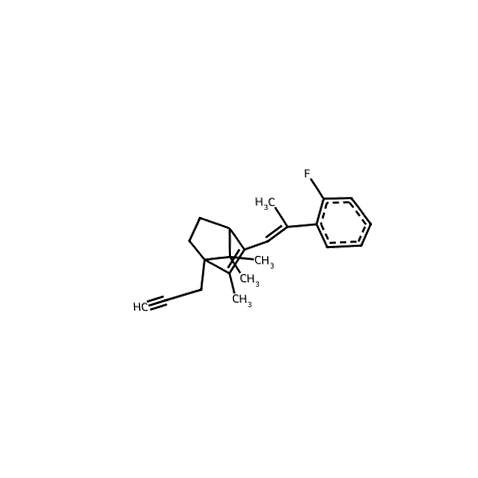 C#CCC12CCC(C(/C=C(\C)c3ccccc3F)=C1C)C2(C)C